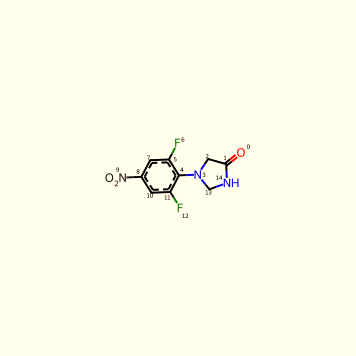 O=C1CN(c2c(F)cc([N+](=O)[O-])cc2F)CN1